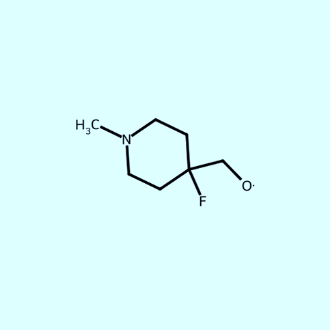 CN1CCC(F)(C[O])CC1